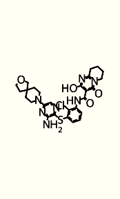 Nc1nc(N2CCC3(CCOC3)CC2)cnc1Sc1cccc(NC(=O)c2c(O)nc3n(c2=O)CCCC3)c1Cl